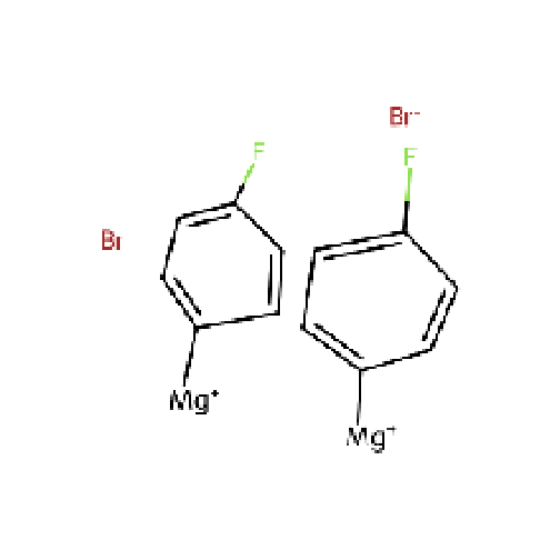 Fc1cc[c]([Mg+])cc1.Fc1cc[c]([Mg+])cc1.[Br-].[Br-]